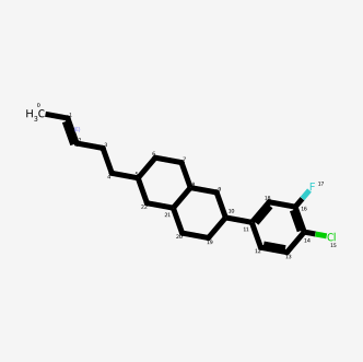 C/C=C/CCC1CCC2CC(c3ccc(Cl)c(F)c3)CCC2C1